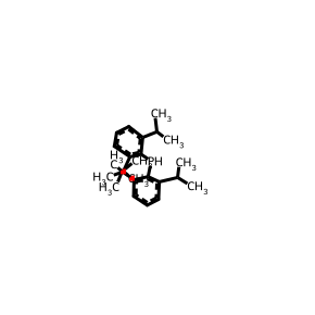 CC(C)c1cccc(C(C)C)c1Pc1c(C(C)C)cccc1C(C)(C)C